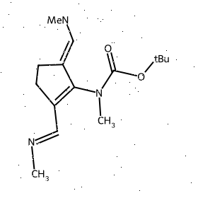 C/N=C/C1=C(N(C)C(=O)OC(C)(C)C)C(=C/NC)/CC1